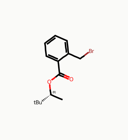 C[C@@H](OC(=O)c1ccccc1CBr)C(C)(C)C